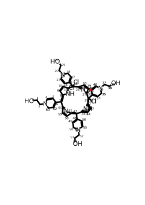 OCCN1C=CC(C2=C3C=CC(Cl)(N3)C(Cl)(C3=CCN(CCO)C=C3)C3=NC(Cl)(C=C3)C(Cl)(C3=CCN(CCO)C=C3)c3ccc([nH]3)C(C3=CCN(CCO)C=C3)=C3C=CC2=N3)=CC1